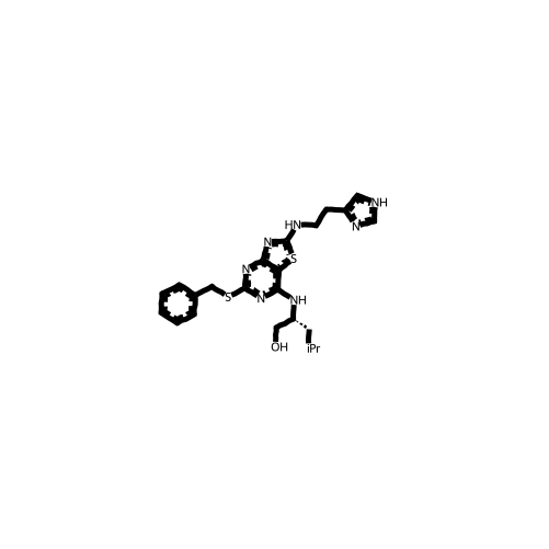 CC(C)C[C@H](CO)Nc1nc(SCc2ccccc2)nc2nc(NCCc3c[nH]cn3)sc12